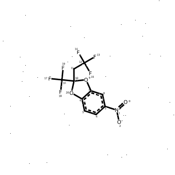 O=[N+]([O-])c1ccc2c(c1)OC(CC(F)(F)F)(C(F)(F)F)O2